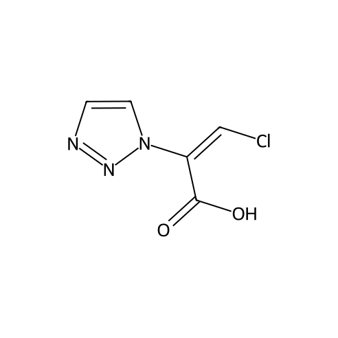 O=C(O)C(=CCl)n1ccnn1